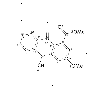 COC(=O)c1cc(OC)ccc1Nc1ccccc1CC#N